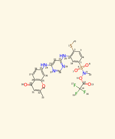 CSc1ccc(S(=O)(=O)N(C)OC(=O)C(F)(F)F)cc1Nc1cc(Nc2ccc3c(=O)cc(C)oc3c2)ncn1